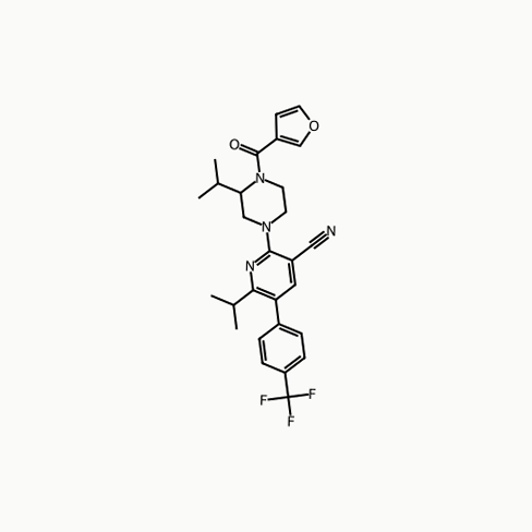 CC(C)c1nc(N2CCN(C(=O)c3ccoc3)C(C(C)C)C2)c(C#N)cc1-c1ccc(C(F)(F)F)cc1